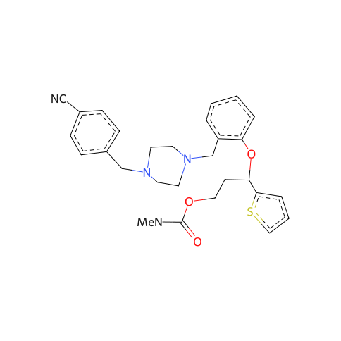 CNC(=O)OCCC(Oc1ccccc1CN1CCN(Cc2ccc(C#N)cc2)CC1)c1cccs1